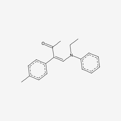 CCN(/C=C(\C(C)=O)c1ccc(C)cc1)c1ccccc1